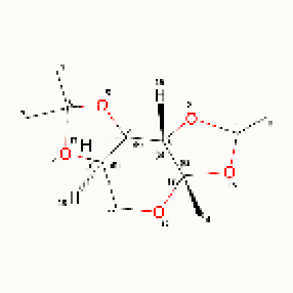 CC1O[C@H]2[C@@H]3OC(C)(C)O[C@@H]3CO[C@@]2(C)O1